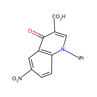 CC(C)n1cc(C(=O)O)c(=O)c2cc([N+](=O)[O-])ccc21